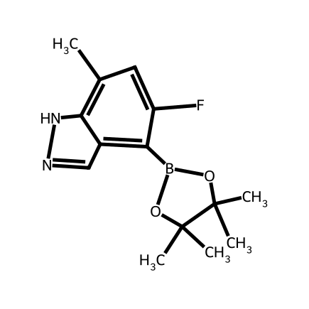 Cc1cc(F)c(B2OC(C)(C)C(C)(C)O2)c2cn[nH]c12